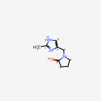 Cc1nc(CN2CCCC2=O)c[nH]1